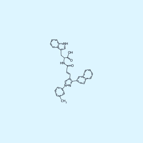 Cc1cccc(-n2cc(/C=C/C(=O)NC(Cc3c[nH]c4ccccc34)C(=O)O)c(-c3ccc4ccccc4c3)n2)c1